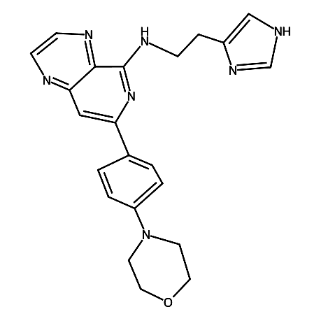 c1cnc2c(NCCc3c[nH]cn3)nc(-c3ccc(N4CCOCC4)cc3)cc2n1